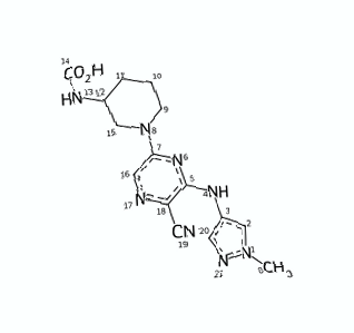 Cn1cc(Nc2nc(N3CCCC(NC(=O)O)C3)cnc2C#N)cn1